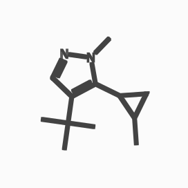 CC1CC1c1c(C(C)(C)C)cnn1C